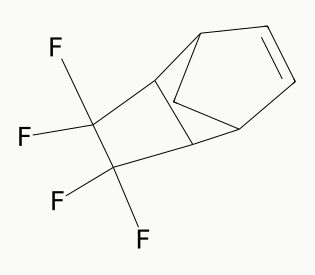 FC1(F)C2C3C=CC(C3)C2C1(F)F